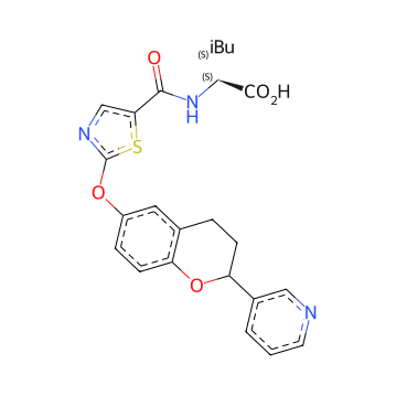 CC[C@H](C)[C@H](NC(=O)c1cnc(Oc2ccc3c(c2)CCC(c2cccnc2)O3)s1)C(=O)O